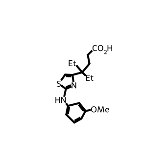 CCC(CC)(CCC(=O)O)c1csc(Nc2cccc(OC)c2)n1